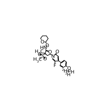 [2H]C([2H])([2H])Oc1ccc(-c2cc(=O)n(CC[C@](C)(C(=O)NOC3CCCCO3)S(C)(=O)=O)cc2F)cc1